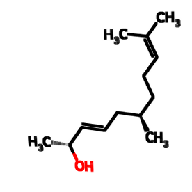 CC(C)=CCC[C@@H](C)CC=C[C@@H](C)O